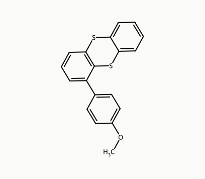 COc1ccc(-c2cccc3c2Sc2ccccc2S3)cc1